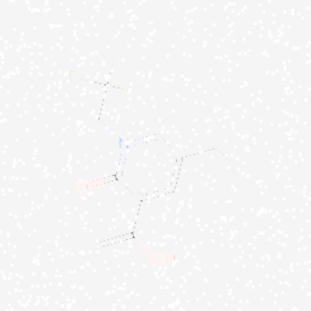 C=Cc1cc(C(=C)O)c(=O)n(CC(F)(F)F)c1